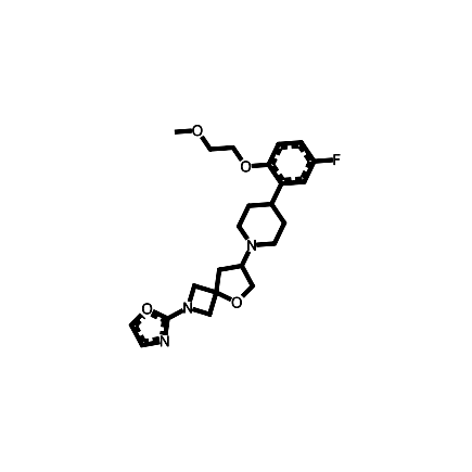 COCCOc1ccc(F)cc1C1CCN(C2COC3(C2)CN(c2ncco2)C3)CC1